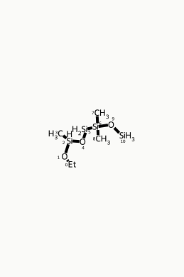 CCO[SiH](C)O[SiH2][Si](C)(C)O[SiH3]